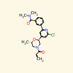 C=CC(=O)N1C[C@H](C)O[C@@H](c2cc(Cl)nc(-c3cccc(C(=O)N(C)C)c3)c2)C1